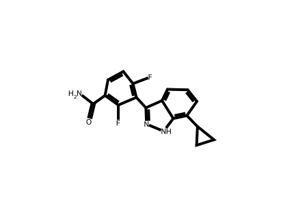 NC(=O)c1ccc(F)c(-c2n[nH]c3c(C4CC4)cccc23)c1F